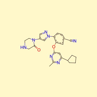 Cc1nc(Oc2cc(C#N)ccc2-n2cc(N3CCNCC3=O)cn2)cc(C2CCCC2)n1